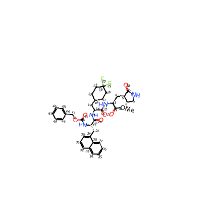 COC(=O)[C@H](C[C@@H]1CCNC1=O)NC(=O)C(CC1CCC(F)(F)CC1)NC(=O)[C@H](Cc1cccc2ccccc12)NC(=O)OCc1ccccc1